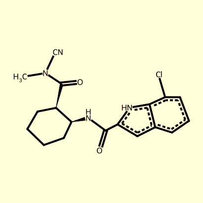 CN(C#N)C(=O)[C@@H]1CCCC[C@@H]1NC(=O)c1cc2cccc(Cl)c2[nH]1